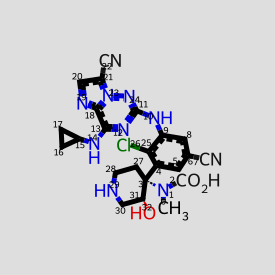 CN(C(=O)O)[C@@]1(c2cc(C#N)cc(Nc3nc(NC4CC4)c4ncc(C#N)n4n3)c2Cl)CCNC[C@H]1O